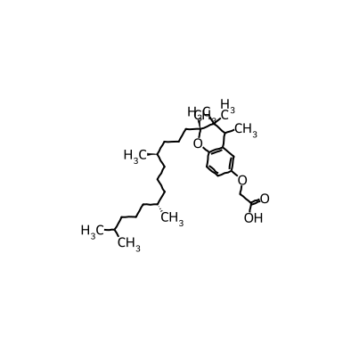 CC(C)CCC[C@@H](C)CCC[C@@H](C)CCC[C@@]1(C)Oc2ccc(OCC(=O)O)cc2C(C)C1(C)C